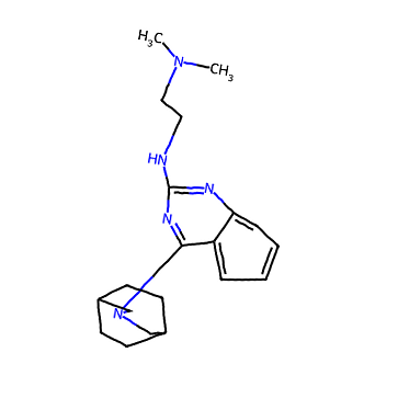 CN(C)CCNc1nc(N2CC3CCC(CC3)C2)c2ccccc2n1